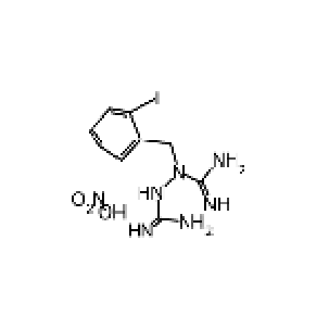 N=C(N)NN(Cc1ccccc1I)C(=N)N.O=[N+]([O-])O